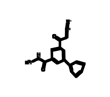 CCCNC(=O)c1cc(C(=O)C=[N+]=[N-])cc(-c2ccccc2)c1